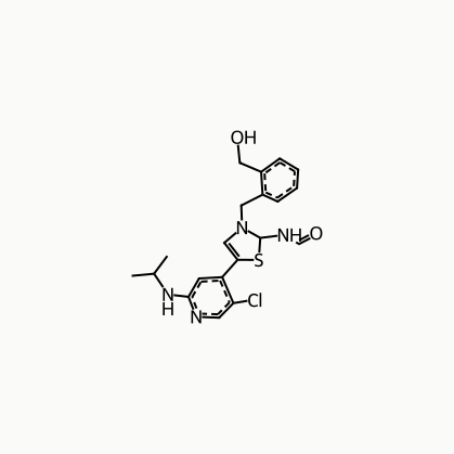 CC(C)Nc1cc(C2=CN(Cc3ccccc3CO)C(NC=O)S2)c(Cl)cn1